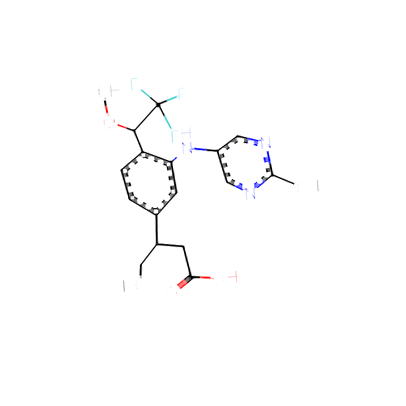 CCC(CC(=O)O)c1ccc(C(OC)C(F)(F)F)c(Nc2cnc(C)nc2)c1